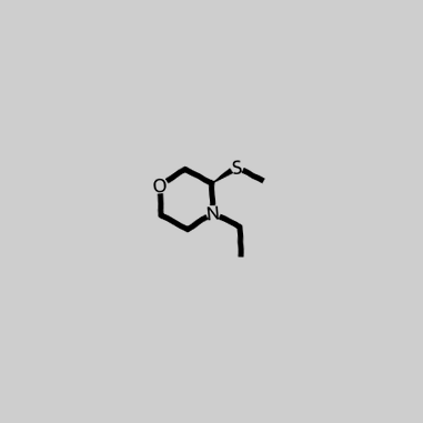 CCN1CCOC[C@H]1SC